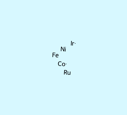 [Co].[Fe].[Ir].[Ni].[Ru]